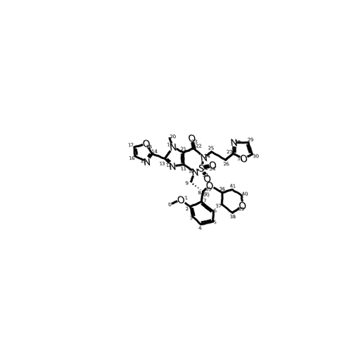 COc1ccccc1[C@H](CN1c2nc(-c3ncco3)n(C)c2C(=O)N(CCc2ncco2)S1(=O)=O)OC1CCOCC1